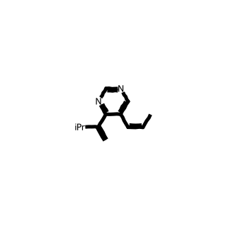 C=C(c1ncncc1/C=C\C)C(C)C